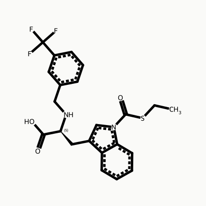 CCSC(=O)n1cc(C[C@H](NCc2cccc(C(F)(F)F)c2)C(=O)O)c2ccccc21